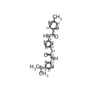 Cc1cnc(C(=O)Nc2nc(CC(=O)Nc3ncc(C(C)C)s3)cs2)cn1